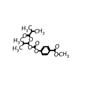 COC(=O)c1ccc(OC(=O)OC(OC(=O)C(C)C)C(C)C)cc1